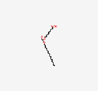 CCCCCCCCCCCCCCCCOC[C@H](CO)OCCCCCCCCC(=O)O